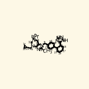 CCCN1Cc2c(nc(C)n2Cc2ccc(-c3ccccc3-c3nnn[nH]3)cc2)N(CC2CC2)C1